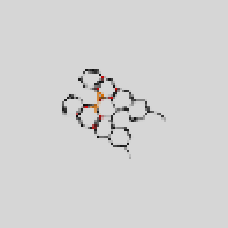 CCc1ccc2c(-c3c(P(c4ccccc4)c4ccccc4)ccc4cc(C)ccc34)c(P(c3ccccc3)c3ccccc3)ccc2c1